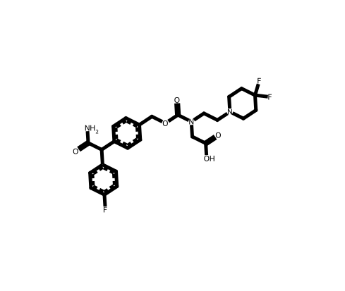 NC(=O)C(c1ccc(F)cc1)c1ccc(COC(=O)N(CCN2CCC(F)(F)CC2)CC(=O)O)cc1